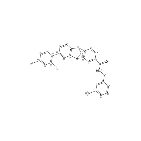 Nc1cc(CNC(=O)c2ccc3c(c2)C2OC3c3ccc(-c4ccc(F)cc4F)cc32)ccn1